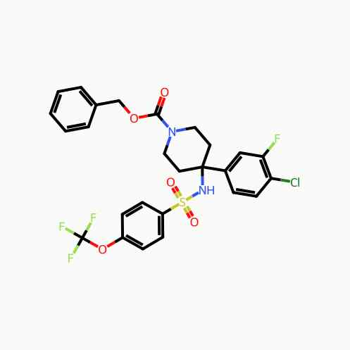 O=C(OCc1ccccc1)N1CCC(NS(=O)(=O)c2ccc(OC(F)(F)F)cc2)(c2ccc(Cl)c(F)c2)CC1